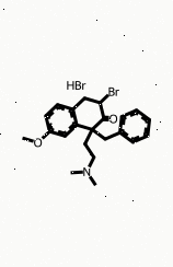 Br.COc1ccc2c(c1)C(CCN(C)C)(Cc1ccccc1)C(=O)C(Br)C2